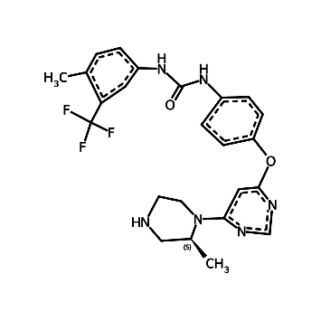 Cc1ccc(NC(=O)Nc2ccc(Oc3cc(N4CCNC[C@@H]4C)ncn3)cc2)cc1C(F)(F)F